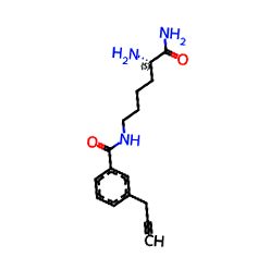 C#CCc1cccc(C(=O)NCCCC[C@H](N)C(N)=O)c1